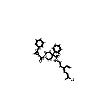 C=C/C(=C\C=C(/C)CC)CCNC(=O)C1(c2ccccc2)CCN(C(=O)C2CC2c2ccccc2)CC1